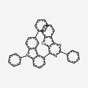 c1ccc(-c2ccc3c(c2)c2c(-c4nc(-c5ccccc5)nc5c4oc4ccccc45)cccc2n3-c2ccccc2)cc1